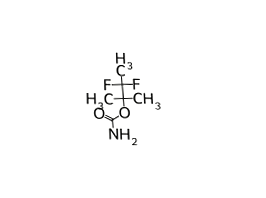 CC(F)(F)C(C)(C)OC(N)=O